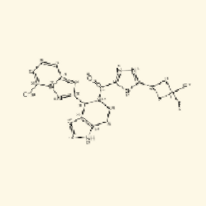 O=C(c1nnc(C2CC(F)(F)C2)o1)N1CCc2[nH]cnc2C1c1cc2cccc(Cl)n2n1